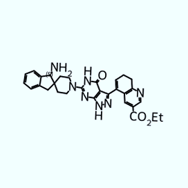 CCOC(=O)c1cnc2c(c1)C(c1n[nH]c3nc(N4CCC5(CC4)Cc4ccccc4[C@H]5N)[nH]c(=O)c13)=CCC2